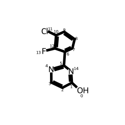 Oc1ccnc(-c2cccc(Cl)c2F)n1